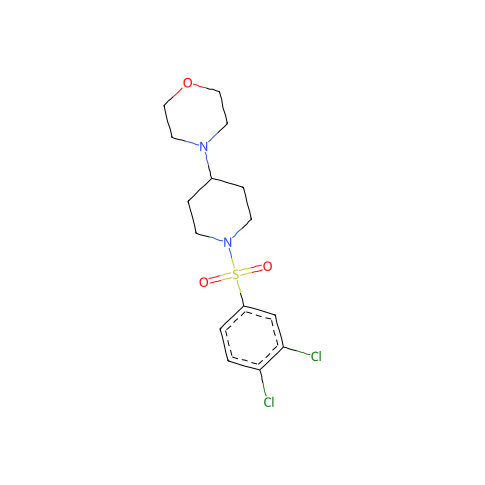 O=S(=O)(c1ccc(Cl)c(Cl)c1)N1CCC(N2CCOCC2)CC1